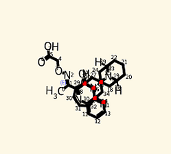 C/C(=N\OCC(=O)O)c1nc2ccccc2n([C@H]2C[C@H]3CCC[C@@H](C2)N3C2C[C@H]3CCCC[C@@H](C2)C3)c1=O